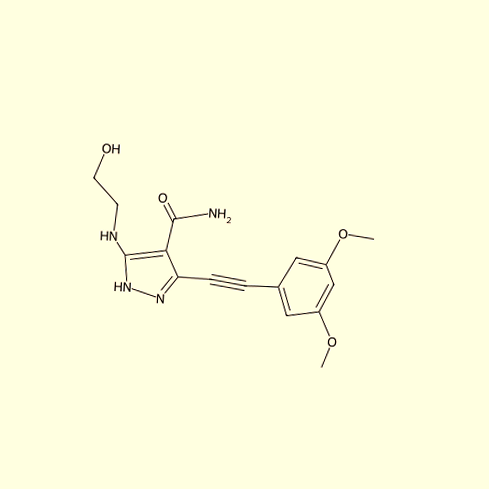 COc1cc(C#Cc2n[nH]c(NCCO)c2C(N)=O)cc(OC)c1